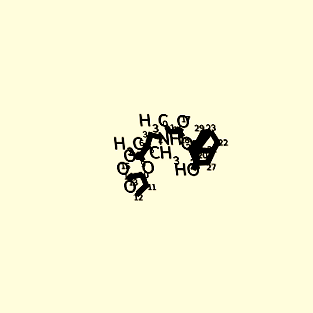 CC(NCC(C)(C)C(=O)OC1CCOC1=O)C(=O)OC12CC3CC(CC(O)(C3)C1)C2